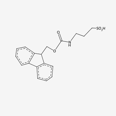 O=C(NCCCS(=O)(=O)O)OCC1c2ccccc2-c2ccccc21